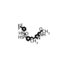 CC(=O)c1cc2cc(CCc3cc(N(S)C(=O)Nc4cccc(C(F)(F)F)c4)ccc3C)cnc2[nH]1